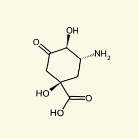 N[C@@H]1C[C@](O)(C(=O)O)CC(=O)[C@H]1O